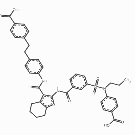 CCCN(c1ccc(C(=O)O)cc1)S(=O)(=O)c1cccc(C(=O)Nc2sc3c(c2C(=O)Nc2ccc(CCc4ccc(C(=O)O)cc4)cc2)CCCC3)c1